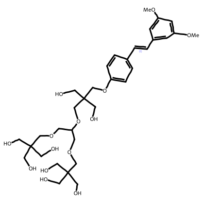 COc1cc(/C=C/c2ccc(OCC(CO)(CO)COC(COCC(CO)(CO)CO)COCC(CO)(CO)CO)cc2)cc(OC)c1